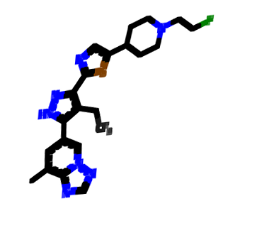 Cc1cc(-c2[nH]nc(-c3ncc(C4CCN(CCF)CC4)s3)c2CC(F)(F)F)cn2ncnc12